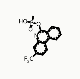 CP(=O)(O)Oc1nc2cc(C(F)(F)F)ccc2c2ccccc12